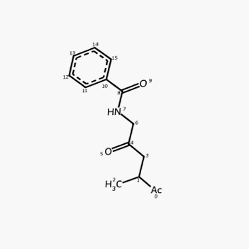 CC(=O)C(C)CC(=O)CNC(=O)c1ccccc1